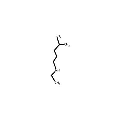 C[CH]NCCCC(C)C